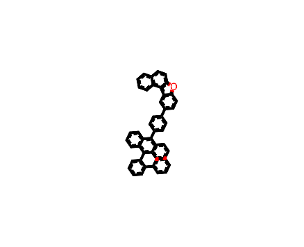 c1ccc(-c2ccccc2-c2c3ccccc3c(-c3ccc(-c4ccc5oc6ccc7ccccc7c6c5c4)cc3)c3ccccc23)cc1